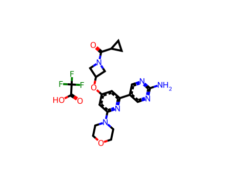 Nc1ncc(-c2cc(OC3CN(C(=O)C4CC4)C3)cc(N3CCOCC3)n2)cn1.O=C(O)C(F)(F)F